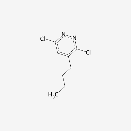 CCCCc1cc(Cl)nnc1Cl